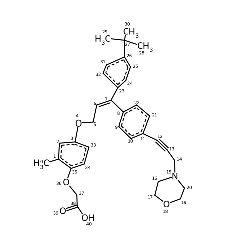 Cc1cc(OCC=C(c2ccc(C#CCN3CCOCC3)cc2)c2ccc(C(C)(C)C)cc2)ccc1OCC(=O)O